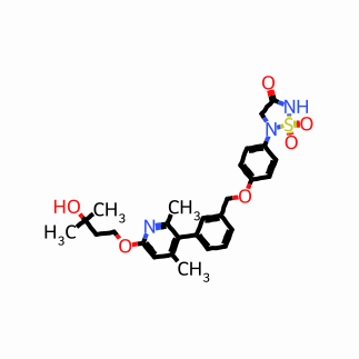 Cc1cc(OCCC(C)(C)O)nc(C)c1-c1cccc(COc2ccc(N3CC(=O)NS3(=O)=O)cc2)c1